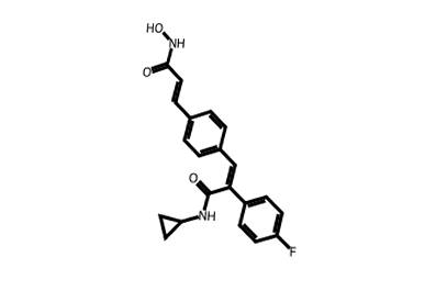 O=C(/C=C/c1ccc(C=C(C(=O)NC2CC2)c2ccc(F)cc2)cc1)NO